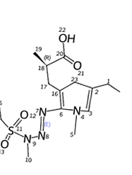 CCC1=CN(C)C(/N=N/N(C)S(=O)(=O)CC)=C(C[C@@H](C)C(=O)O)C1